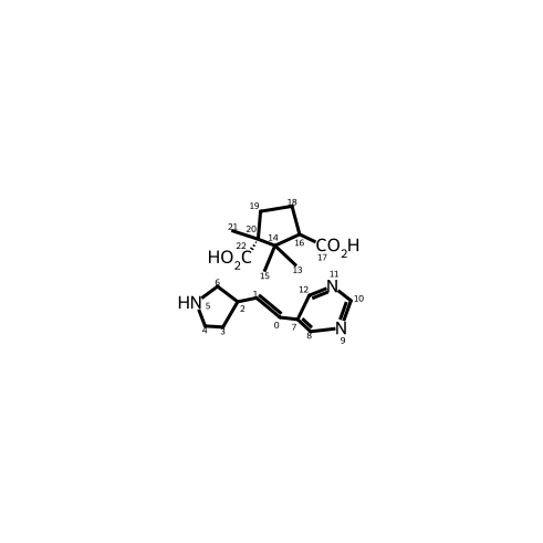 C(=C\C1CCNC1)/c1cncnc1.CC1(C)C(C(=O)O)CC[C@@]1(C)C(=O)O